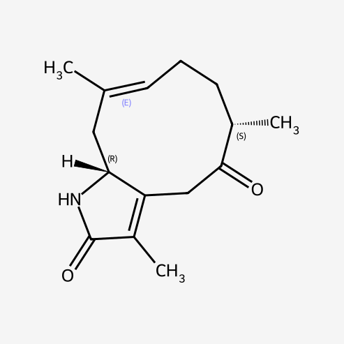 CC1=C2CC(=O)[C@@H](C)CC/C=C(\C)C[C@H]2NC1=O